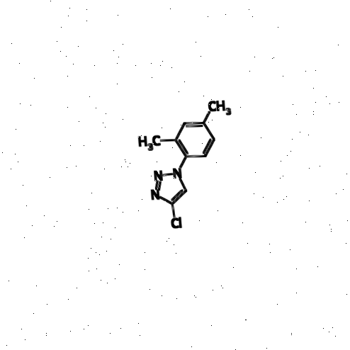 Cc1ccc(-n2cc(Cl)nn2)c(C)c1